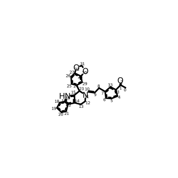 CC(=O)c1cccc(C/C=C/N2CCc3c([nH]c4ccccc34)C2c2ccc3c(c2)OCO3)c1